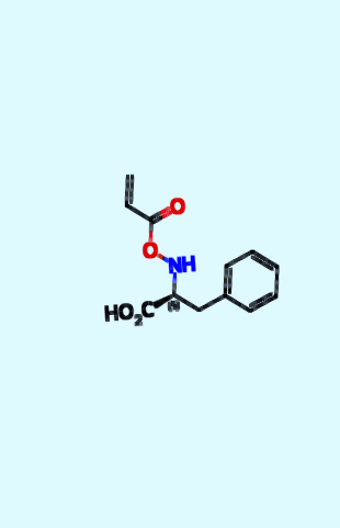 C=CC(=O)ON[C@@H](Cc1ccccc1)C(=O)O